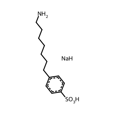 NCCCCCCCc1ccc(S(=O)(=O)O)cc1.[NaH]